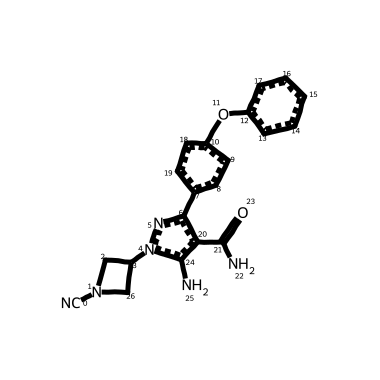 N#CN1CC(n2nc(-c3ccc(Oc4ccccc4)cc3)c(C(N)=O)c2N)C1